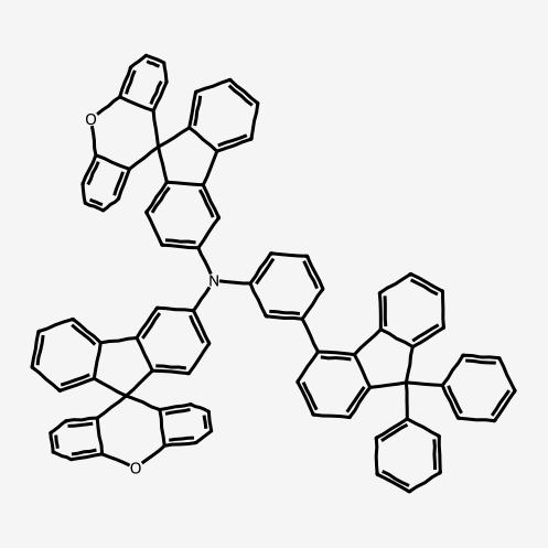 c1ccc(C2(c3ccccc3)c3ccccc3-c3c(-c4cccc(N(c5ccc6c(c5)-c5ccccc5C65c6ccccc6Oc6ccccc65)c5ccc6c(c5)-c5ccccc5C65c6ccccc6Oc6ccccc65)c4)cccc32)cc1